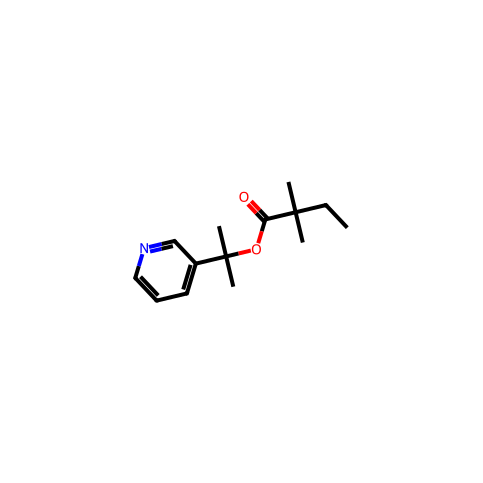 CCC(C)(C)C(=O)OC(C)(C)c1cccnc1